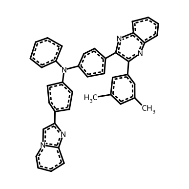 Cc1cc(C)cc(-c2nc3ccccc3nc2-c2ccc(N(c3ccccc3)c3ccc(-c4cn5ccccc5n4)cc3)cc2)c1